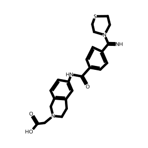 N=C(c1ccc(C(=O)Nc2ccc3c(c2)CCN(CC(=O)O)C3)cc1)N1CCSCC1